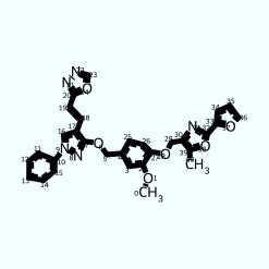 COc1cc(COc2nn(-c3ccccc3)cc2/C=C/c2nnco2)ccc1OCc1nc(-c2ccco2)oc1C